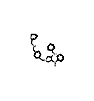 c1ccc(NC2CN(Cc3ccc(CNCc4ccccn4)cc3)CC2Nc2ccccc2)cc1